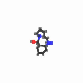 O=C1C2CC=CCC2NCC2C=CCN12